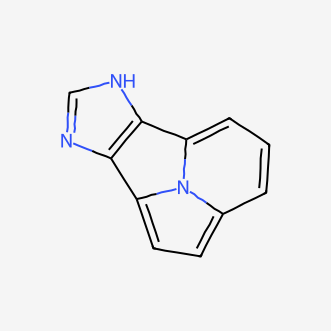 c1cc2ccc3c4nc[nH]c4c(c1)n23